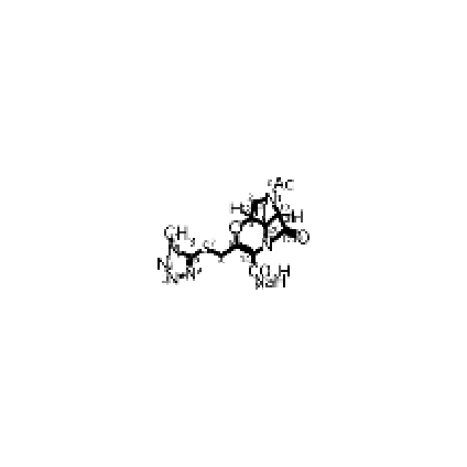 CC(=O)N1C[C@H]2OC(CSc3nnnn3C)=C(C(=O)O)N3C(=O)[C@@H]1[C@@H]23.[NaH]